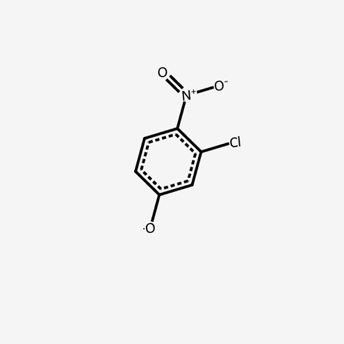 [O]c1ccc([N+](=O)[O-])c(Cl)c1